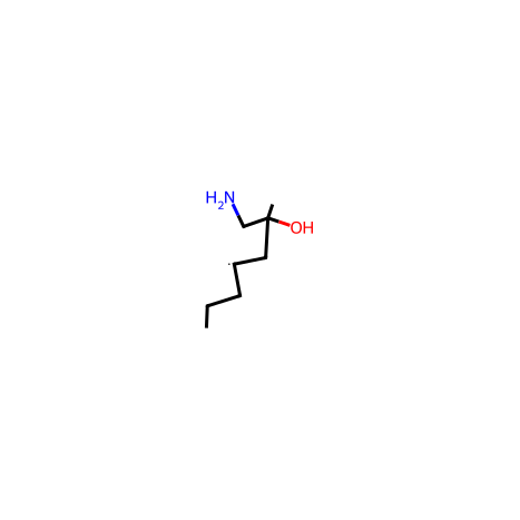 CCC[CH]CC(C)(O)CN